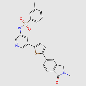 Cc1cccc(S(=O)(=O)Nc2cncc(-c3ccc(-c4ccc5c(c4)CN(C)C5=O)s3)c2)c1